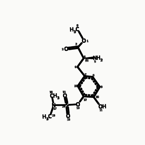 COC(=O)[C@@H](N)Cc1ccc(O)c(OS(=O)(=O)N(C)C)c1